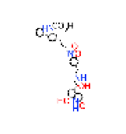 O=C(O)Nc1cc(CCCCn2c(=O)oc3cc(CCNCC(O)c4ccc(O)c5[nH]c(=O)ccc45)ccc32)ccc1-c1ccccc1